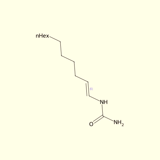 CCCCCCCCCC/C=C/NC(N)=O